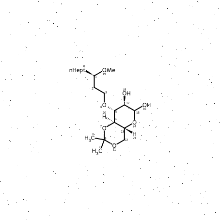 CCCCCCC[C@H](CCO[C@H]1[C@@H]2OC(C)(C)OC[C@H]2OC(O)[C@@H]1O)OC